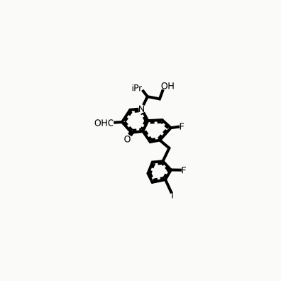 CC(C)C(CO)n1cc(C=O)c(=O)c2cc(Cc3cccc(I)c3F)c(F)cc21